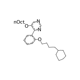 CCCCCCCCOc1cncnc1-c1ccccc1OCCCCC1CCCCC1